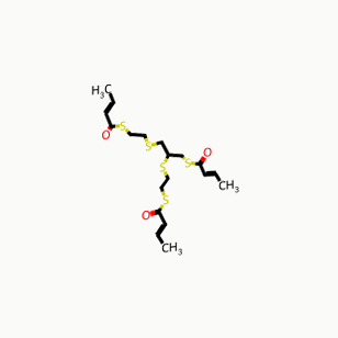 CC=CC(=O)SCCSCC(CSC(=O)C=CC)SCCSC(=O)C=CC